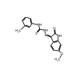 COc1ccc2c(c1)NC(=O)/C2=N\NC(=S)Nc1cccc(C)c1